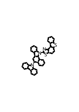 c1ccc2c(c1)sc1ccc3sc(-n4c5ccccc5c5cc(-n6c7ccccc7c7ccccc76)c6ccccc6c54)nc3c12